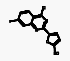 O=Nc1ccc(-c2nc(Cl)c3ccc(F)cc3n2)o1